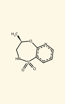 C[C@@H]1CNS(=O)(=O)c2cccnc2O1